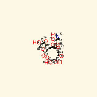 CC[C@H]1OC(=O)[C@H](C)C([C@H]2C[C@@](C)(OC)[C@@H](O)[C@H](C)O2)[C@H](C)[C@@H](O[C@@H]2O[C@H](C)C[C@@H](N(C)C)[C@H]2O)[C@](C)(OC)C[C@@H](C)C(=O)[C@H](C)[C@@H](O)[C@]1(C)O